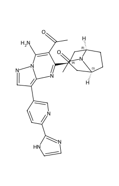 CC(=O)c1c([C@H]2C[C@H]3CC[C@@H](C2)N3C(C)=O)nc2c(-c3ccc(-c4ncc[nH]4)nc3)cnn2c1N